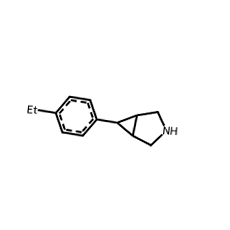 CCc1ccc(C2C3CNCC32)cc1